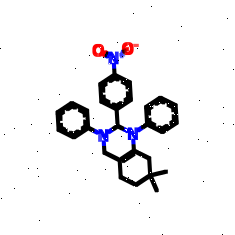 CC1(C)CCC2=C(C1)N(c1ccccc1)C(c1ccc([N+](=O)[O-])cc1)N(c1ccccc1)C2